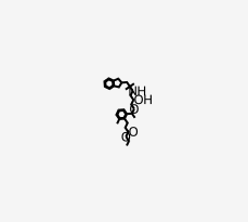 CCOC(=O)CCc1c(C)cccc1C(C)OCC(O)CNC(C)(C)CC1Cc2ccccc2C1